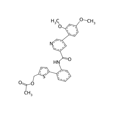 COc1ccc(-c2cncc(C(=O)Nc3ccccc3-c3ccc(COC(C)=O)s3)c2)c(OC)c1